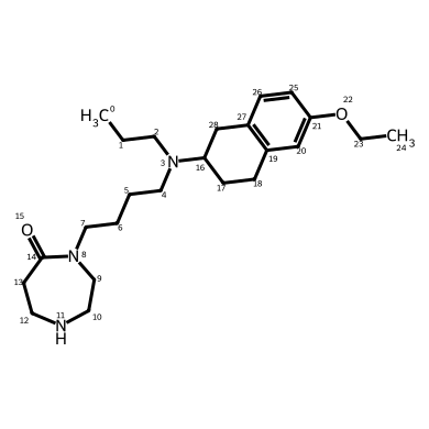 CCCN(CCCCN1CCNCCC1=O)C1CCc2cc(OCC)ccc2C1